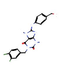 CN1c2c(n(C)c(=O)n(Cc3ccc(Cl)c(Cl)c3)c2=O)NC1Nc1ccc(CO)cc1